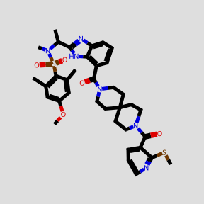 COc1cc(C)c(S(=O)(=O)N(C)C(C)c2nc3cccc(C(=O)N4CCC5(CCN(C(=O)c6cccnc6SC)CC5)CC4)c3[nH]2)c(C)c1